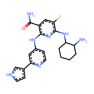 NC(=O)c1cc(F)c(NC2CCCCC2N)nc1Nc1ccnc(-c2cc[nH]c2)c1